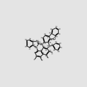 Cc1cc2c3c(c1C)c(C)c(C)c1c3n(c3nc4ccccc4n23)-c2ccc3c(oc4ccccc43)c2B1c1ccccc1